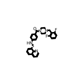 O=C(c1ccc(NSc2cccc3cccnc23)cc1)N1CCN(Cc2c(F)cccc2F)CC1